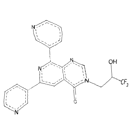 O=c1c2cc(-c3cccnc3)nc(-c3cccnc3)c2ncn1CC(O)C(F)(F)F